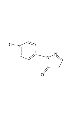 O=C1CC=NN1c1ccc(Cl)cc1